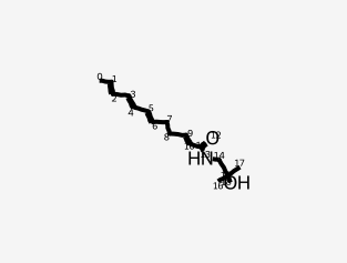 CC=CC=CC=CCCC=CC(=O)NCC(C)(C)O